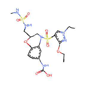 CCOc1nn(CC)cc1S(=O)(=O)N1CC(CNS(=O)(=O)NC)Oc2ccc(NC(=O)O)cc21